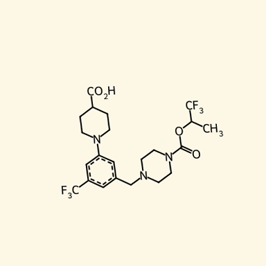 CC(OC(=O)N1CCN(Cc2cc(N3CCC(C(=O)O)CC3)cc(C(F)(F)F)c2)CC1)C(F)(F)F